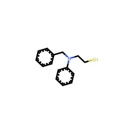 SCCN(Cc1ccccc1)c1ccccc1